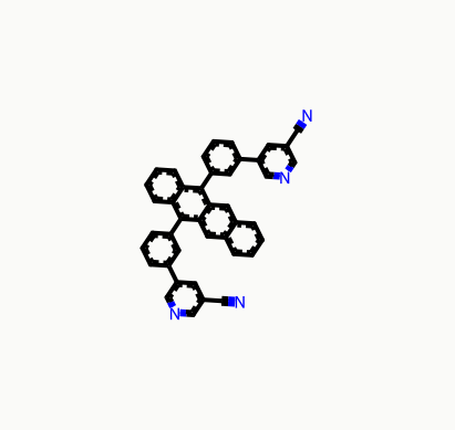 N#Cc1cncc(-c2cccc(-c3c4ccccc4c(-c4cccc(-c5cncc(C#N)c5)c4)c4cc5ccccc5cc34)c2)c1